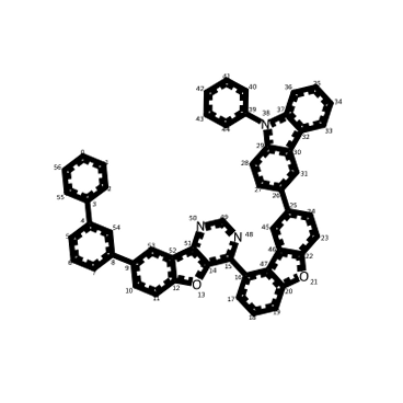 c1ccc(-c2cccc(-c3ccc4oc5c(-c6cccc7oc8ccc(-c9ccc%10c(c9)c9ccccc9n%10-c9ccccc9)cc8c67)ncnc5c4c3)c2)cc1